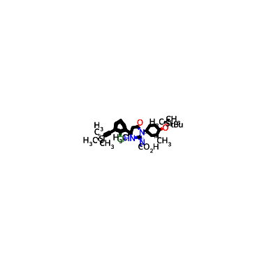 C[C@H]1C[C@@H](N2C(=O)C[C@@](C)(c3cccc(C#C[Si](C)(C)C)c3Cl)N/C2=N\C(=O)O)CCC1O[Si](C)(C)C(C)(C)C